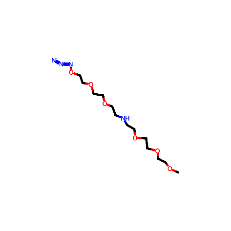 COCCOCCOCCNCCOCCOCCON=[N+]=[N-]